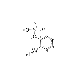 CS(=O)(=O)Oc1cccc[c]1[Mg][I]